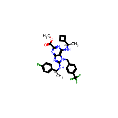 COC(=O)c1nc(N[C@H](C)C2CCC2)c2c(n1)nc(N[C@@H](C)c1ccc(F)cc1)n2Cc1ccc(C(F)(F)F)cc1